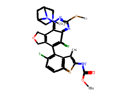 CCSc1nc(N2C3CC2CN(C(=O)O)C3)c2c3c(c(-c4c(F)ccc5sc(NC(=O)OC(C)(C)C)c(C#N)c45)c(F)c2n1)COC3